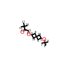 CC(C)(C)OC1CC2(CC(OCC(=O)C(C)(C)C)C2)C1